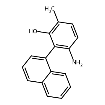 Cc1ccc(N)c(-c2cccc3ccccc23)c1O